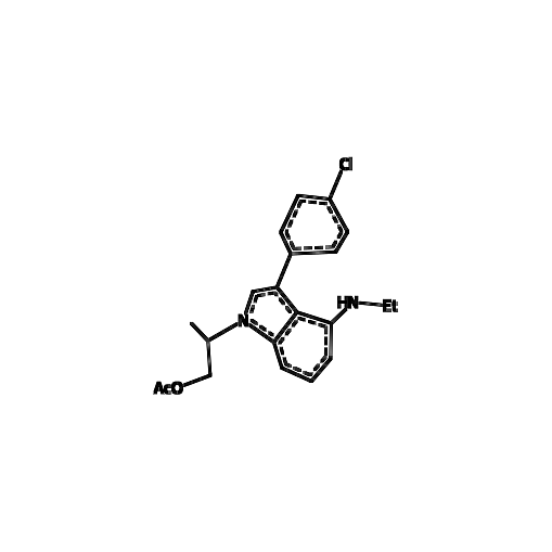 CCNc1cccc2c1c(-c1ccc(Cl)cc1)cn2C(C)COC(C)=O